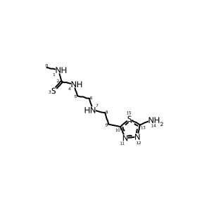 CNC(=S)NCCNCCc1nnc(N)s1